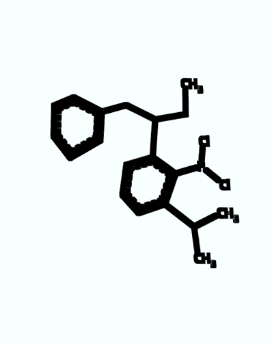 CCC(Cc1ccccc1)c1cccc(C(C)C)c1P(Cl)Cl